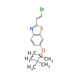 CC(C)(C)[Si](C)(C)Oc1ccc2nc(C=CBr)sc2c1